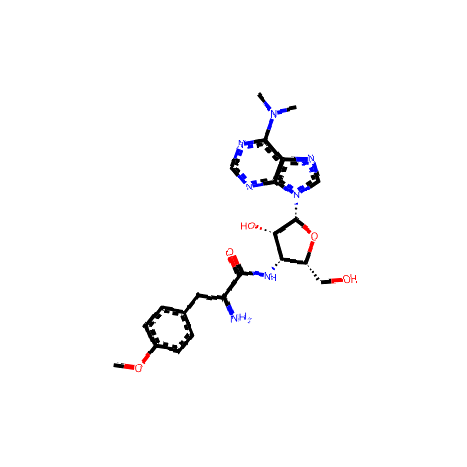 COc1ccc(CC(N)C(=O)N[C@@H]2[C@H](O)[C@H](n3cnc4c(N(C)C)ncnc43)O[C@@H]2CO)cc1